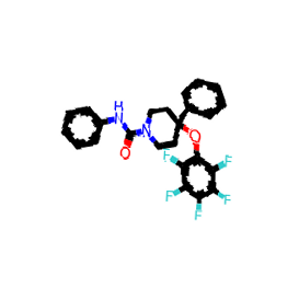 O=C(Nc1ccccc1)N1CCC(Oc2c(F)c(F)c(F)c(F)c2F)(c2ccccc2)CC1